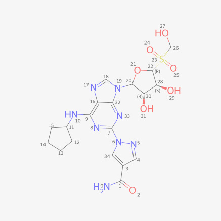 NC(=O)c1cnn(-c2nc(NC3CCCC3)c3ncn(C4O[C@H](S(=O)(=O)CO)[C@@H](O)[C@H]4O)c3n2)c1